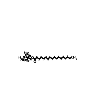 CCCCCCCCCCCCCCCCCC(=O)OCC(CO)(CO)N(C)C